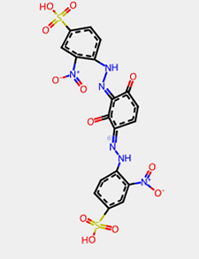 O=c1cc/c(=N\Nc2ccc(S(=O)(=O)O)cc2[N+](=O)[O-])c(=O)c1=NNc1ccc(S(=O)(=O)O)cc1[N+](=O)[O-]